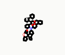 c1ccc(-c2ccccc2-c2ccccc2-c2ccccc2N(c2ccc3c(c2)C2(c4ccccc4Oc4ccccc42)c2ccccc2-3)c2ccc3c(ccc4ccccc43)c2)cc1